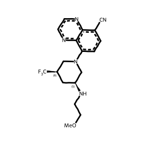 COCCN[C@H]1C[C@@H](C(F)(F)F)CN(c2ccc(C#N)c3nccnc23)C1